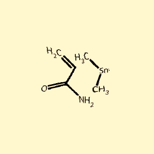 C=CC(N)=O.[CH3][Sn][CH3]